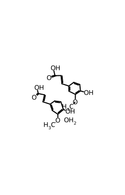 COc1cc(C=CC(=O)O)ccc1O.COc1cc(C=CC(=O)O)ccc1O.O